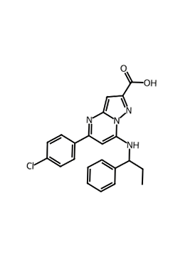 CCC(Nc1cc(-c2ccc(Cl)cc2)nc2cc(C(=O)O)nn12)c1ccccc1